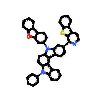 c1ccc(-n2c3ccccc3c3c4c5ccc(-c6nccc7c6sc6ccccc67)cc5n(-c5ccc6c(c5)oc5ccccc56)c4ccc32)cc1